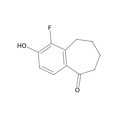 O=C1CCCCc2c1ccc(O)c2F